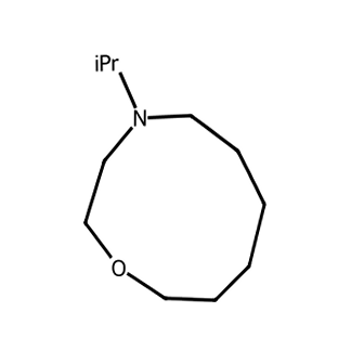 CC(C)N1CCCCCCOCC1